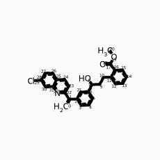 C=C(c1cccc(C(O)CCc2ccccc2C(=O)OC)c1)c1ccc2ccc(Cl)cc2n1